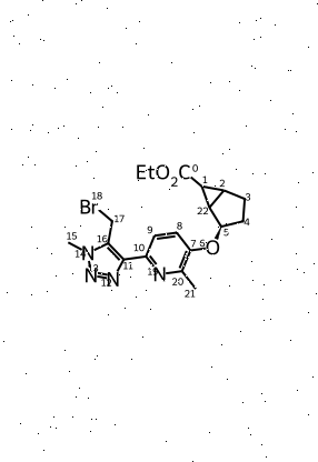 CCOC(=O)C1C2CC[C@@H](Oc3ccc(-c4nnn(C)c4CBr)nc3C)C21